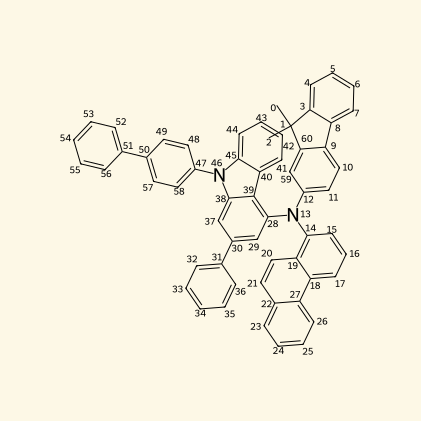 CC1(C)c2ccccc2-c2ccc(N(c3cccc4c3ccc3ccccc34)c3cc(-c4ccccc4)cc4c3c3ccccc3n4-c3ccc(-c4ccccc4)cc3)cc21